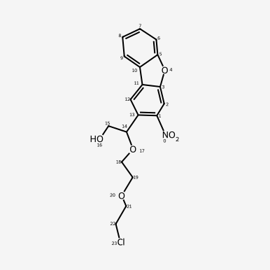 O=[N+]([O-])c1cc2oc3ccccc3c2cc1C(CO)OCCOCCCl